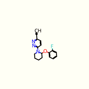 C#Cc1ccc(N2CCCCC2Oc2ccccc2F)nn1